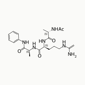 C=C(N)NCCC[C@H](NC(=O)[C@H](C)NC(C)=O)C(=O)N[C@@H](C)C(=O)Nc1ccccc1